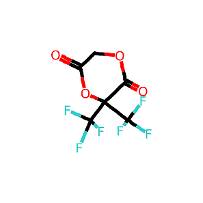 O=C1COC(=O)C(C(F)(F)F)(C(F)(F)F)O1